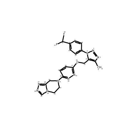 Cc1nnn(-c2ccc(C(F)F)cc2)c1COc1ccc(N2CCn3cnnc3C2)nn1